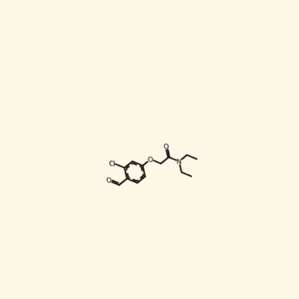 CCN(CC)C(=O)COc1ccc(C=O)c(Cl)c1